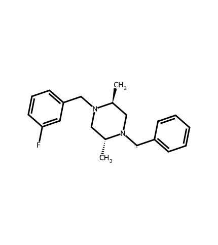 C[C@@H]1CN(Cc2cccc(F)c2)[C@@H](C)CN1[CH]c1ccccc1